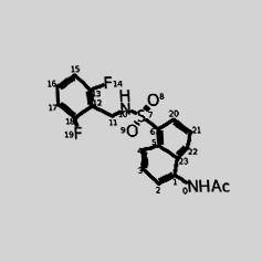 CC(=O)Nc1cccc2c(S(=O)(=O)NCc3c(F)cccc3F)cccc12